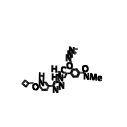 CNC(=O)c1ccc(C(C)CNc2cc(C3=CNC(OCC4CCC4)C=C3)ncn2)c(OCN=[N+]=[N-])c1